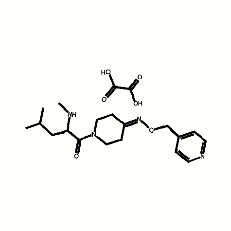 CNC(CC(C)C)C(=O)N1CCC(=NOCc2ccncc2)CC1.O=C(O)C(=O)O